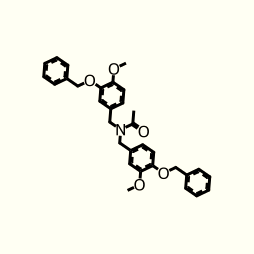 COc1cc(CN(Cc2ccc(OC)c(OCc3ccccc3)c2)C(C)=O)ccc1OCc1ccccc1